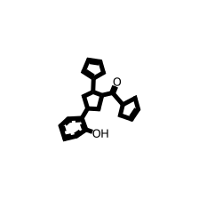 O=C(C1CC=CC1)C1CC(c2ccccc2O)CC1C1=CC=CC1